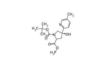 Cc1ccc([C@]2(O)CC(C(=O)OP)N(C(=O)OC(C)(C)C)C2)nc1